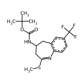 CSC1=Nc2ccc(C(F)(F)F)cc2CC(NC(=O)OC(C)(C)C)C1